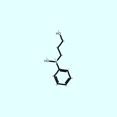 OCCCN(O)c1ccccc1